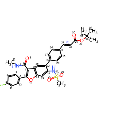 CNC(=O)c1c(-c2ccc(F)cc2)oc2cc(NS(C)(=O)=O)c(-c3ccc(/C=C/C(=O)OC(C)(C)C)cc3)cc12